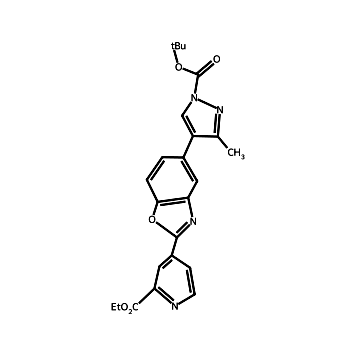 CCOC(=O)c1cc(-c2nc3cc(-c4cn(C(=O)OC(C)(C)C)nc4C)ccc3o2)ccn1